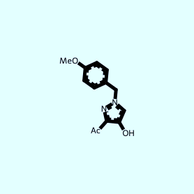 COc1ccc(Cn2cc(O)c(C(C)=O)n2)cc1